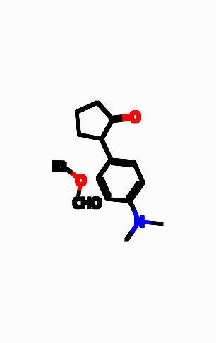 CCOC=O.CN(C)c1ccc(C2CCCC2=O)cc1